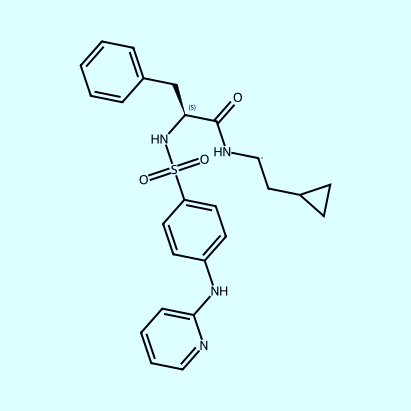 O=C(N[CH]CC1CC1)[C@H](Cc1ccccc1)NS(=O)(=O)c1ccc(Nc2ccccn2)cc1